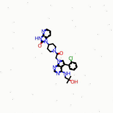 CC(C)(O)CNc1ncnc2c1c(-c1ccccc1Cl)cn2CC(=O)N1CCC(n2c(=O)[nH]c3ncccc32)CC1